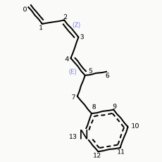 C=C/C=C\C=C(/C)Cc1ccccn1